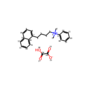 C[N+](C)(CCCCc1cccc2ccccc12)c1ccccc1.O=C([O-])C(=O)O